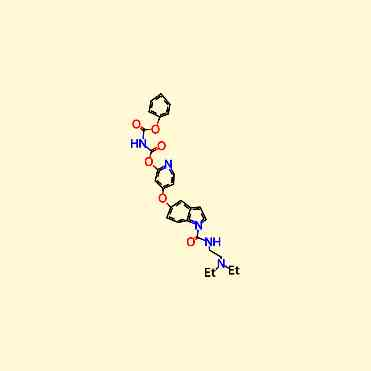 CCN(CC)CCNC(=O)n1ccc2cc(Oc3ccnc(OC(=O)NC(=O)Oc4ccccc4)c3)ccc21